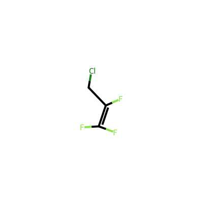 FC(F)=C(F)CCl